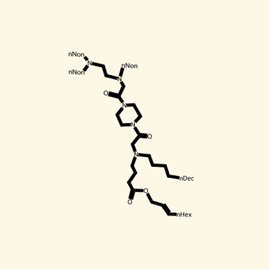 CCCCCCC=CCOC(=O)CCCN(CCCCCCCCCCCCCC)CC(=O)N1CCN(C(=O)CN(CCCCCCCCC)CCN(CCCCCCCCC)CCCCCCCCC)CC1